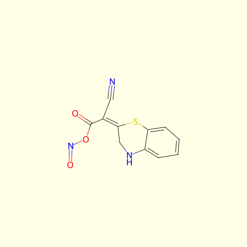 N#CC(C(=O)ON=O)=C1CNc2ccccc2S1